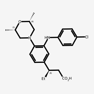 CC[C@H](CC(=O)O)c1ccc(N2C[C@@H](C)O[C@@H](C)C2)c(Nc2ccc(Cl)cc2)c1